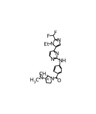 CCn1c(-c2ccnc(Nc3ccc(C(=O)N4CC[C@@H](N(C)C)C4)cc3)n2)cnc1C(F)F